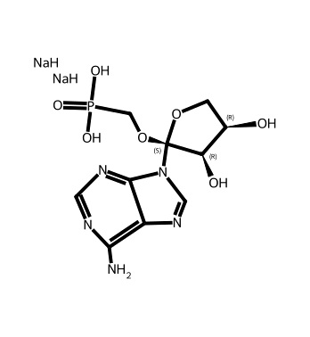 Nc1ncnc2c1ncn2[C@]1(OCP(=O)(O)O)OC[C@@H](O)[C@H]1O.[NaH].[NaH]